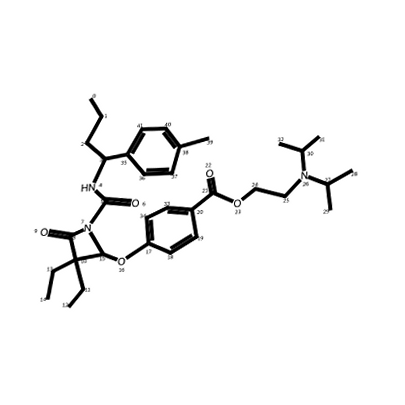 CCCC(NC(=O)N1C(=O)C(CC)(CC)C1Oc1ccc(C(=O)OCCN(C(C)C)C(C)C)cc1)c1ccc(C)cc1